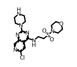 O=S(=O)(CCNc1nc(N2CCNCC2)nc2cnc(Cl)cc12)N1CCOCC1